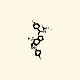 CC(=O)NC(C[C@H]1CCC2=C1[C@@H](C)c1cnn(-c3ccc(F)cc3)c1C2)c1ccc(F)cc1